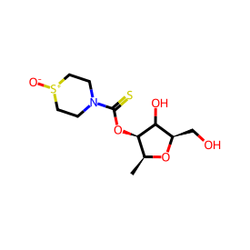 C[C@@H]1O[C@H](CO)C(O)[C@@H]1OC(=S)N1CC[S+]([O-])CC1